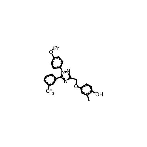 Cc1cc(OCc2nc(-c3cccc(C(F)(F)F)c3)n(-c3ccc(OC(C)C)cc3)n2)ccc1O